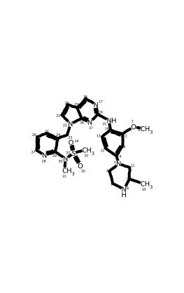 COc1cc(N2CCNC(C)C2)ccc1Nc1ncc2ccn(Cc3cccnc3N(C)S(C)(=O)=O)c2n1